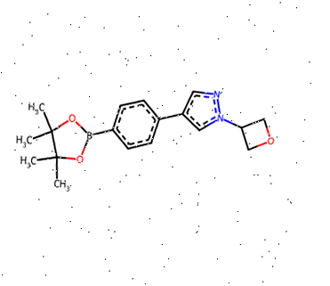 CC1(C)OB(c2ccc(-c3cnn(C4COC4)c3)cc2)OC1(C)C